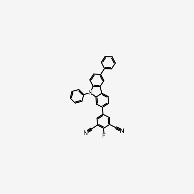 N#Cc1cc(-c2ccc3c4cc(-c5ccccc5)ccc4n(-c4ccccc4)c3c2)cc(C#N)c1F